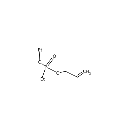 C=CCOP(=O)(CC)OCC